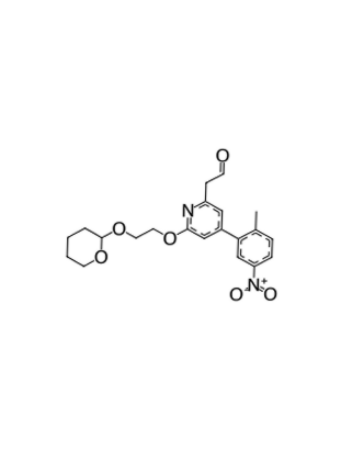 Cc1ccc([N+](=O)[O-])cc1-c1cc(CC=O)nc(OCCOC2CCCCO2)c1